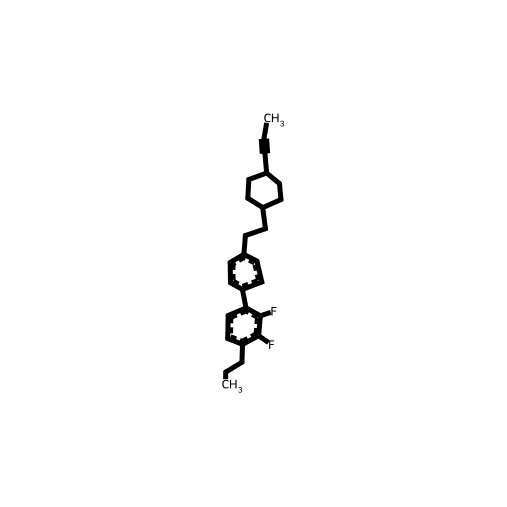 CC#CC1CCC(CCc2ccc(-c3ccc(CCC)c(F)c3F)cc2)CC1